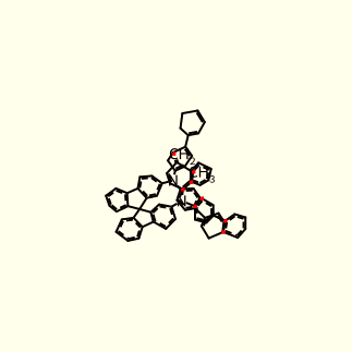 C=C(/C=C\C(=C/C)N(c1ccc(-c2ccccc2)cc1)c1ccc2c(c1)C1(c3ccccc3-c3ccc(N(C4=CC=C(C5=CC=CCC5)CC4)c4ccc(C5=CCCC=C5)cc4)cc31)c1ccccc1-2)c1ccccc1